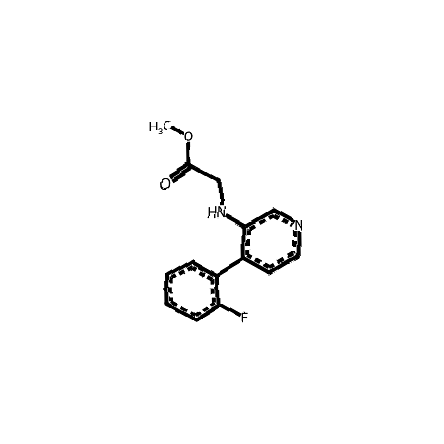 COC(=O)CNc1cnccc1-c1ccccc1F